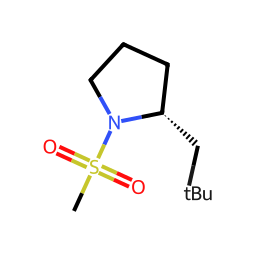 CC(C)(C)C[C@H]1CCCN1S(C)(=O)=O